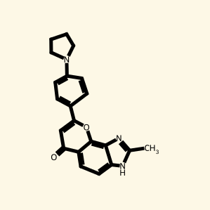 Cc1nc2c(ccc3c(=O)cc(-c4ccc(N5CCCC5)cc4)oc32)[nH]1